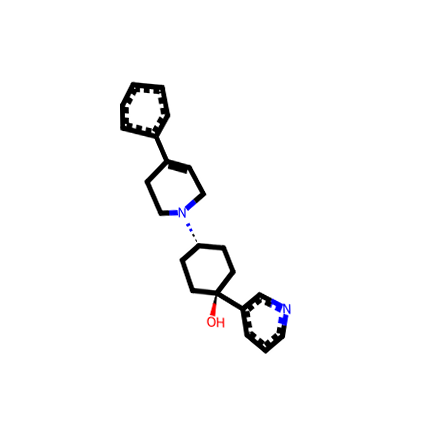 O[C@]1(c2cccnc2)CC[C@@H](N2CC=C(c3ccccc3)CC2)CC1